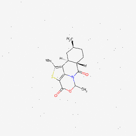 CC1OC(=O)c2sc(C(C)(C)C)c3c2N1C(=O)[C@H]1CC[C@H](C)C[C@H]31